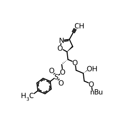 C#CC1=NO[C@H]([C@@H](COS(=O)(=O)c2ccc(C)cc2)OC[C@H](O)COCCCC)C1